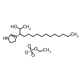 CCCCCCCCCCCCC(C(C)O)[N+]1=CNCC1.CCOS(=O)(=O)[O-]